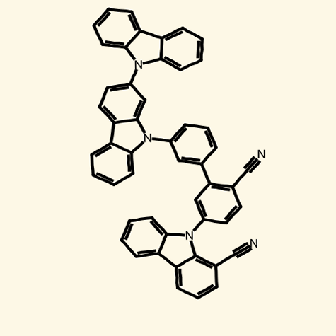 N#Cc1ccc(-n2c3ccccc3c3cccc(C#N)c32)cc1-c1cccc(-n2c3ccccc3c3ccc(-n4c5ccccc5c5ccccc54)cc32)c1